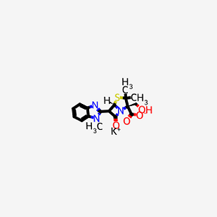 Cn1c(C2C(=O)N3[C@@H]2SC(C)(C)[C@]3(CO)C(=O)[O-])nc2ccccc21.[K+]